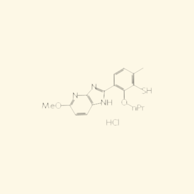 CCCOc1c(-c2nc3nc(OC)ccc3[nH]2)ccc(C)c1S.Cl